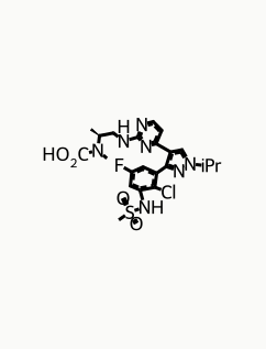 CC(C)n1cc(-c2ccnc(NC[C@H](C)N(C)C(=O)O)n2)c(-c2cc(F)cc(NS(C)(=O)=O)c2Cl)n1